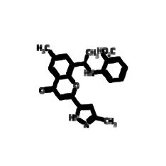 Cc1cc([C@@H](C)Nc2ccccc2C(=O)O)c2oc(-c3cc(C)n[nH]3)cc(=O)c2c1